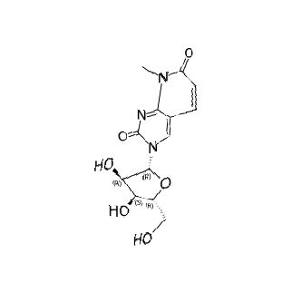 Cn1c(=O)ccc2cn([C@@H]3O[C@H](CO)[C@@H](O)[C@H]3O)c(=O)nc21